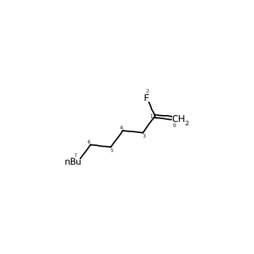 C=C(F)CCCCCCCC